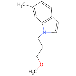 COCCCn1ccc2ccc(C)cc21